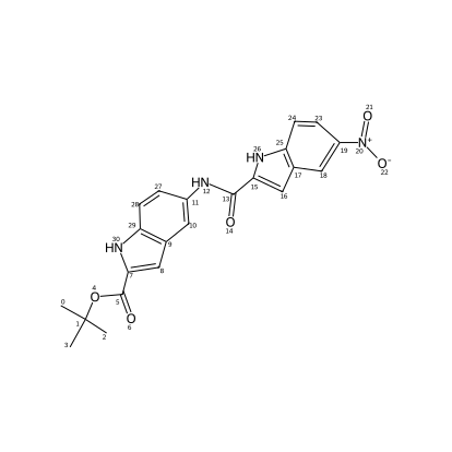 CC(C)(C)OC(=O)c1cc2cc(NC(=O)c3cc4cc([N+](=O)[O-])ccc4[nH]3)ccc2[nH]1